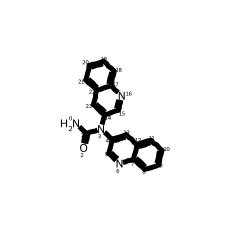 NC(=O)N(c1cnc2ccccc2c1)c1cnc2ccccc2c1